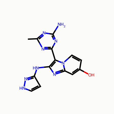 Cc1nc(N)nc(-c2c(Nc3cc[nH]n3)nc3cc(O)ccn23)n1